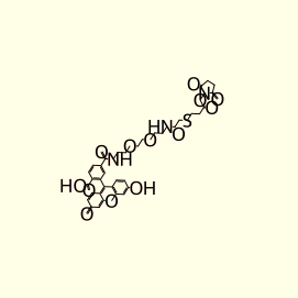 O=C(CSCCC(=O)ON1C(=O)CCC1=O)NCCOCCOCCNC(=O)c1ccc(C(=O)O)c(-c2c3ccc(=O)cc-3oc3cc(O)ccc23)c1